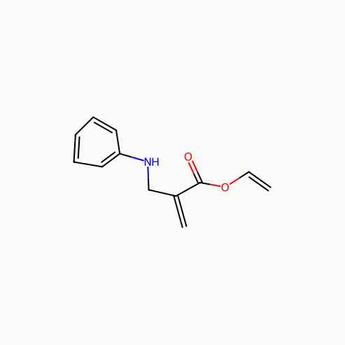 C=COC(=O)C(=C)CNc1ccccc1